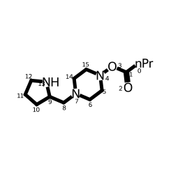 CCCC(=O)ON1CCN(CC2CCCN2)CC1